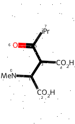 CNC(C(=O)O)C(C(=O)O)C(=O)C(C)C